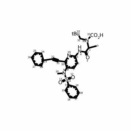 CC(C(=O)Nc1ccc(N(C)S(=O)(=O)c2ccccc2)c(C#Cc2ccccc2)n1)N(CC(C)(C)C)C(=O)O